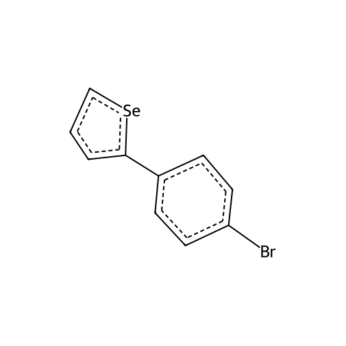 Brc1ccc(-c2ccc[se]2)cc1